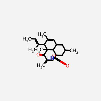 C=C1C(=O)C2(C)C(/C(C)=C/C)C(C)=CC3CC(C)CC4(OC(=O)NC14)C32